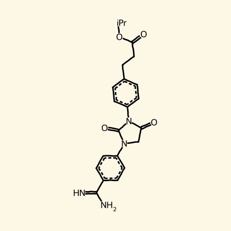 CC(C)OC(=O)CCc1ccc(N2C(=O)CN(c3ccc(C(=N)N)cc3)C2=O)cc1